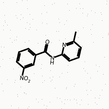 Cc1cccc(NC(=O)c2cccc([N+](=O)[O-])c2)n1